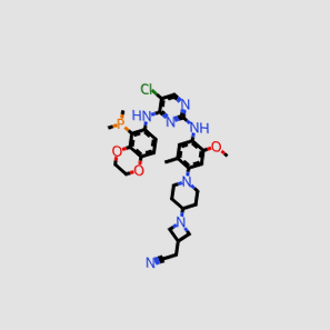 COc1cc(N2CCC(N3CC(CC#N)C3)CC2)c(C)cc1Nc1ncc(Cl)c(Nc2ccc3c(c2P(C)C)OCCO3)n1